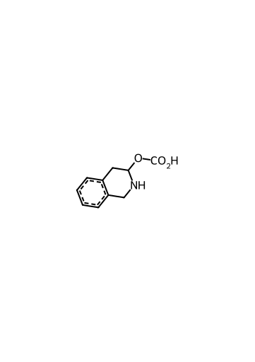 O=C(O)OC1Cc2ccccc2CN1